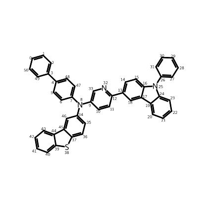 c1ccc(-c2ccc(N(c3ccc(-c4ccc5c(c4)c4ccccc4n5-c4ccccc4)nc3)c3ccc4sc5ccccc5c4c3)cc2)cc1